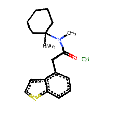 CNC1(N(C)C(=O)Cc2cccc3sccc23)CCCCC1.Cl